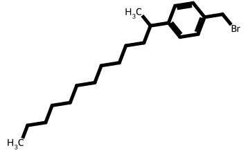 CCCCCCCCCCCC(C)c1ccc(CBr)cc1